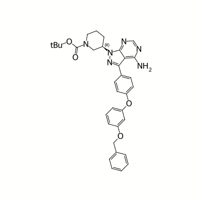 CC(C)(C)OC(=O)N1CCC[C@@H](n2nc(-c3ccc(Oc4cccc(OCc5ccccc5)c4)cc3)c3c(N)ncnc32)C1